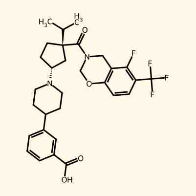 CC(C)[C@]1(C(=O)N2COc3ccc(C(F)(F)F)c(F)c3C2)CC[C@@H](N2CCC(c3cccc(C(=O)O)c3)CC2)C1